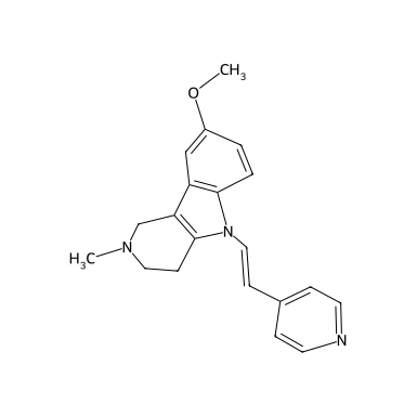 COc1ccc2c(c1)c1c(n2C=Cc2ccncc2)CCN(C)C1